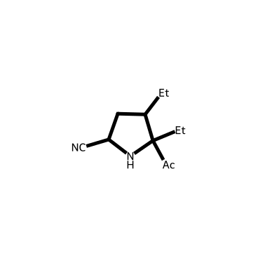 CCC1CC(C#N)NC1(CC)C(C)=O